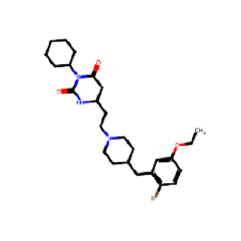 CCOc1ccc(Br)c(CC2CCN(CCC3CC(=O)N(C4CCCCC4)C(=O)N3)CC2)c1